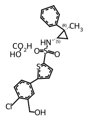 C[C@]1(c2ccccc2)C[C@@H]1NS(=O)(=O)c1ccc(-c2ccc(Cl)c(CO)c2)s1.O=C(O)O